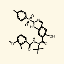 COc1cccc(C(=O)NN(C(=O)c2cc3c(cc2O)C=NN(S(=O)(=O)c2ccc(C)cc2)B3)C(C)(C)C)c1C